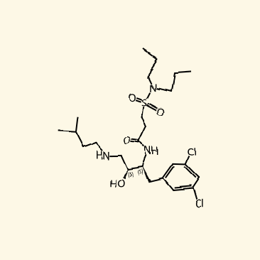 CCCN(CCC)S(=O)(=O)CCC(=O)N[C@@H](Cc1cc(Cl)cc(Cl)c1)[C@@H](O)CNCCC(C)C